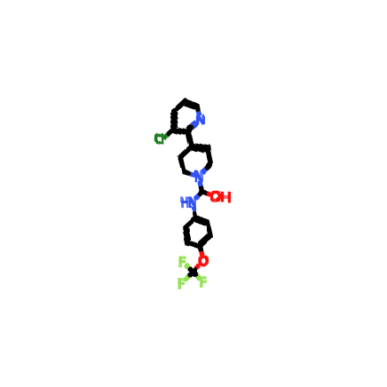 OC(Nc1ccc(OC(F)(F)F)cc1)N1CC=C(c2ncccc2Cl)CC1